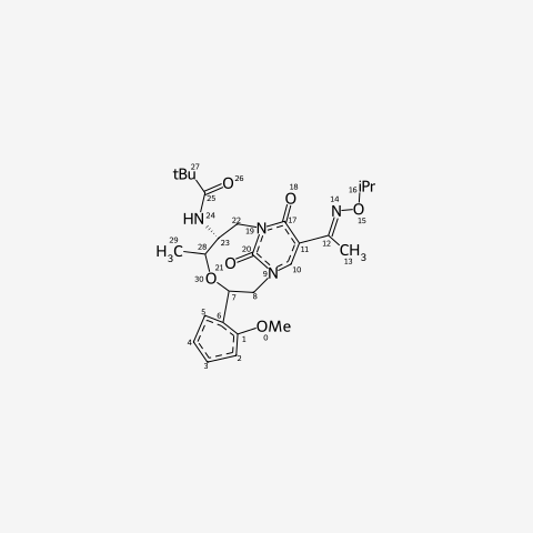 COc1ccccc1C1Cn2cc(/C(C)=N/OC(C)C)c(=O)n(c2=O)C[C@@H](NC(=O)C(C)(C)C)C(C)O1